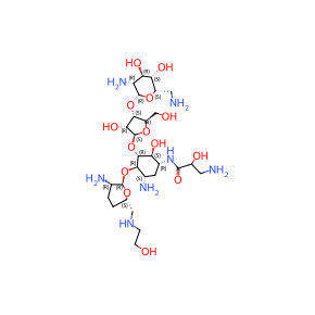 NCC(O)C(=O)N[C@@H]1C[C@H](N)[C@@H](O[C@H]2O[C@H](CNCCO)CC[C@H]2N)[C@H](O[C@@H]2O[C@H](CO)[C@@H](O[C@H]3O[C@@H](CN)[C@@H](O)[C@H](O)[C@H]3N)[C@H]2O)[C@H]1O